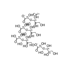 O=C(O)[C@H](O)[C@@H](O)[C@H](O)[C@H](O)CO.O=C(O)[C@H](O)[C@@H](O)[C@H](O)[C@H](O)CO.O=C([O-])[C@H](O)[C@@H](O)[C@H](O)[C@H](O)CO.O=C([O-])[C@H](O)[C@@H](O)[C@H](O)[C@H](O)CO.[Ca+2]